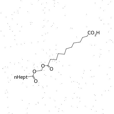 CCCCCCCC(=O)OCOC(=O)CCCCCCCCCCC(=O)O